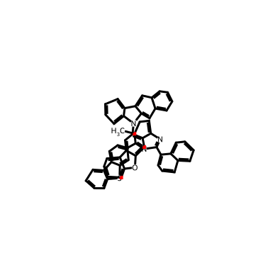 CC1C/C=C(c2cc3oc4ccccc4c3cc2-n2c3ccccc3c3cc4ccccc4cc32)/N=C(c2cccc3ccccc23)\N=C/1c1ccc2c(c1)sc1ccccc12